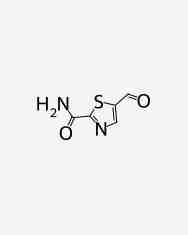 NC(=O)c1ncc(C=O)s1